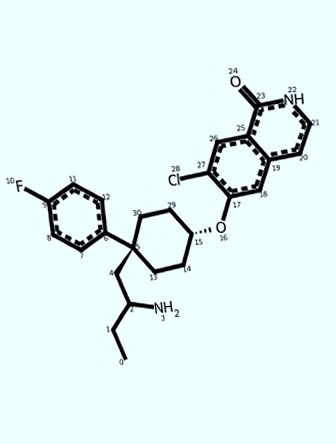 CCC(N)C[C@]1(c2ccc(F)cc2)CC[C@@H](Oc2cc3cc[nH]c(=O)c3cc2Cl)CC1